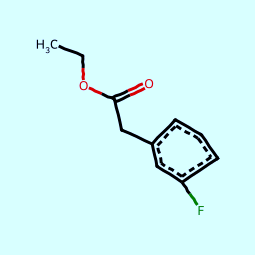 CCOC(=O)Cc1cccc(F)c1